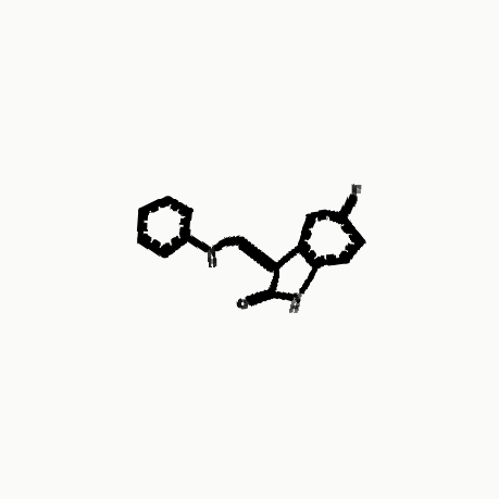 O=C1Nc2ccc(F)cc2C1=CNc1ccccc1